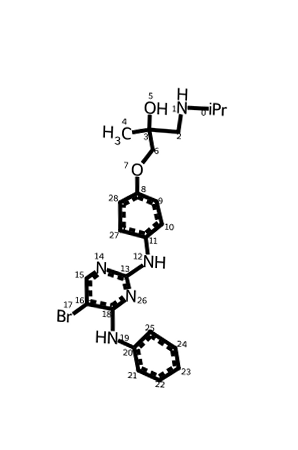 CC(C)NCC(C)(O)COc1ccc(Nc2ncc(Br)c(Nc3ccccc3)n2)cc1